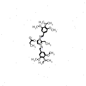 CCC(=O)[O-].CCc1n(/N=C/c2cc(OC)c(N(C)C)c(OC)c2)cc[n+]1/N=C/c1cc(OC)c(N(C)C)c(OC)c1